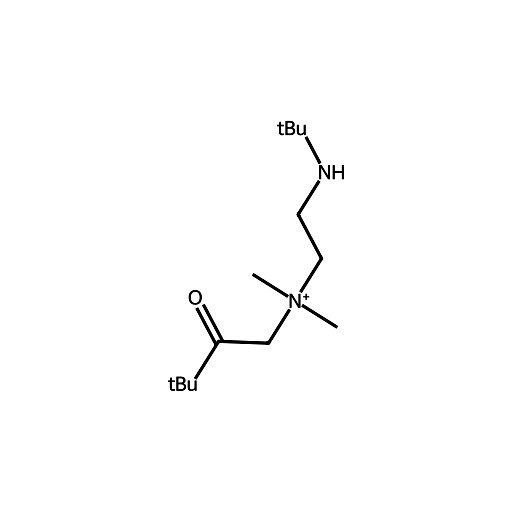 CC(C)(C)NCC[N+](C)(C)CC(=O)C(C)(C)C